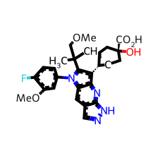 COCC(C)(C)c1c([C@H]2CC[C@](O)(C(=O)O)CC2)c2nc3[nH]ncc3cc2n1-c1ccc(F)c(OC)c1